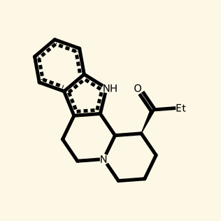 CCC(=O)[C@H]1CCCN2CCc3c([nH]c4ccccc34)C12